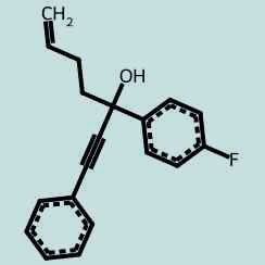 C=CCCC(O)(C#Cc1ccccc1)c1ccc(F)cc1